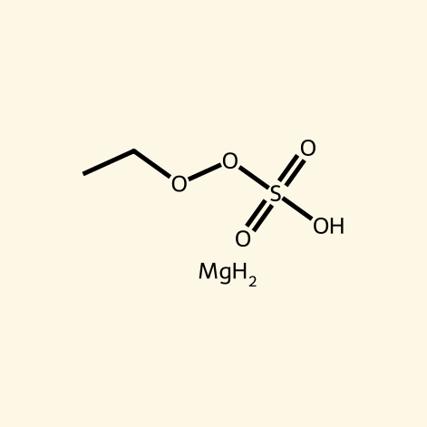 CCOOS(=O)(=O)O.[MgH2]